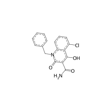 NC(=O)c1c(O)c2c(Cl)cccc2n(Cc2ccccc2)c1=O